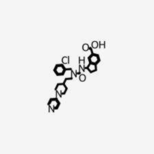 O=C(O)c1ccc2c(c1)C(NC(=O)N(CCC1CCN(c3ccncc3)CC1)Cc1ccccc1Cl)CC2